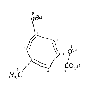 CCCCc1cccc(C)c1.O=C(O)O